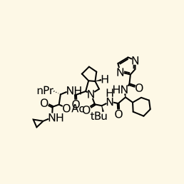 CCC[C@H](NC(=O)C1C2CCC[C@@H]2CN1C(=O)[C@@H](NC(=O)[C@@H](NC(=O)c1cnccn1)C1CCCCC1)C(C)(C)C)C(OC(C)=O)C(=O)NC1CC1